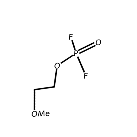 COCCOP(=O)(F)F